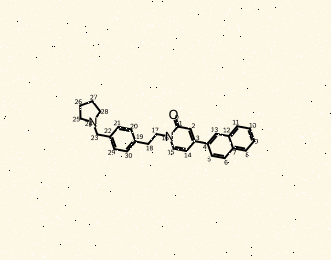 O=c1cc(-c2ccc3ccccc3c2)ccn1CCc1ccc(CN2CCCC2)cc1